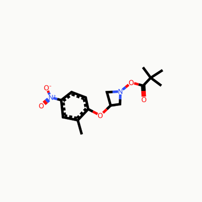 Cc1cc([N+](=O)[O-])ccc1OC1CN(OC(=O)C(C)(C)C)C1